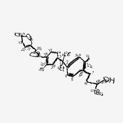 CCC(CC)(c1ccc(CCC(O)C(C)(C)C)c(C)c1)c1ccc(OCC2=CCC(=O)O2)c(C)c1